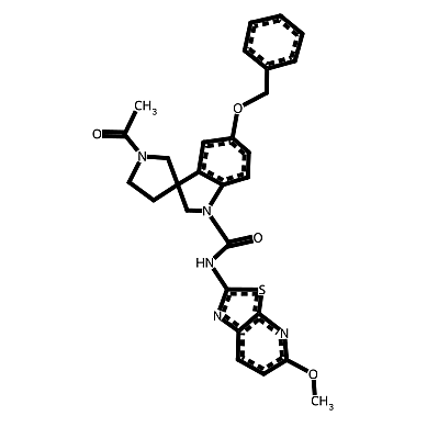 COc1ccc2nc(NC(=O)N3CC4(CCN(C(C)=O)C4)c4cc(OCc5ccccc5)ccc43)sc2n1